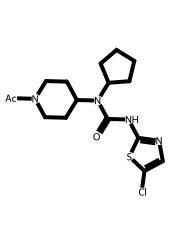 CC(=O)N1CCC(N(C(=O)Nc2ncc(Cl)s2)C2CCCC2)CC1